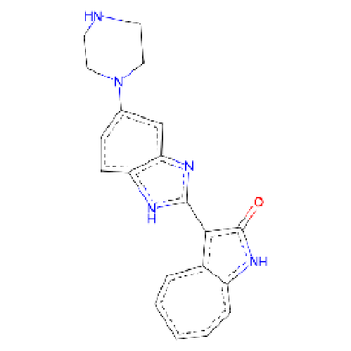 O=c1[nH]c2cccccc-2c1-c1nc2cc(N3CCNCC3)ccc2[nH]1